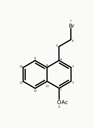 CC(=O)Oc1ccc(CCBr)c2ccccc12